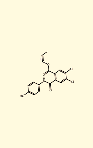 C/C=C\OC(=O)c1cc(Cl)c(Cl)cc1C(=O)Nc1ccc(O)cc1